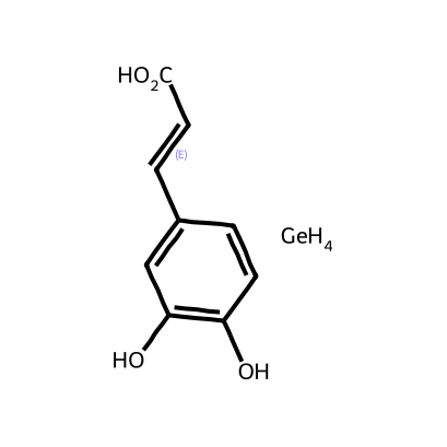 O=C(O)/C=C/c1ccc(O)c(O)c1.[GeH4]